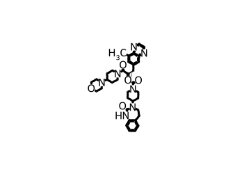 Cc1cc(C[C@@H](OC(=O)N2CCC(N3CCc4ccccc4NC3=O)CC2)C(=O)N2CCC(N3CCOCC3)CC2)cc2nccnc12